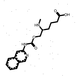 CNC(CCCC(=O)O)COC(=O)Nc1cc2ccccc2cn1